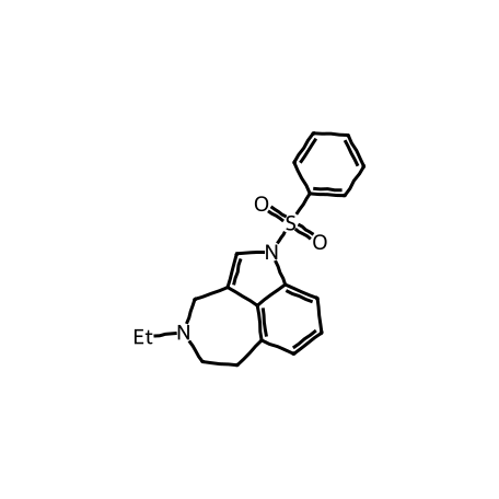 CCN1CCc2cccc3c2c(cn3S(=O)(=O)c2ccccc2)C1